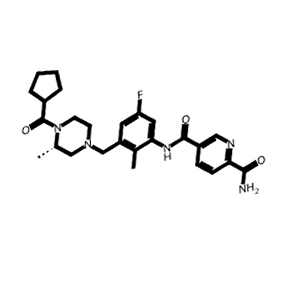 Cc1c(CN2CCN(C(=O)C3CCCC3)[C@@H](C)C2)cc(F)cc1NC(=O)c1ccc(C(N)=O)nc1